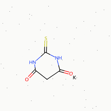 O=C1CC(=O)NC(=S)N1.[K]